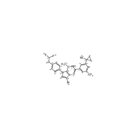 CC(NC(=O)c1cc(C(F)(F)F)nc(C2(C#N)CC2)c1)c1nc(Br)nn1-c1ccc(OC(F)F)cn1